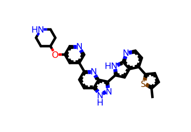 Cc1ccc(-c2ccnc3[nH]c(-c4n[nH]c5ccc(-c6cncc(OC7CCNCC7)c6)nc45)cc23)s1